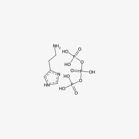 NCCc1c[nH]cn1.O=P(O)(O)OP(=O)(O)OP(=O)(O)O